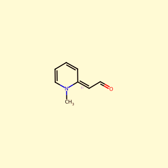 CN1C=CC=C/C1=C\C=O